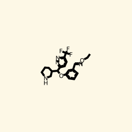 CCON=Cc1cccc(OC(c2ccc(C(F)(F)F)nn2)C2CCCNC2)c1